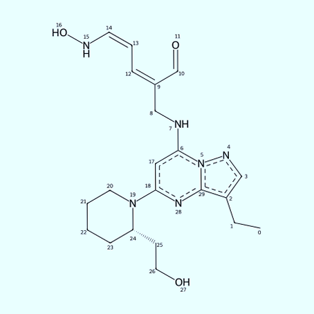 CCc1cnn2c(NC/C(C=O)=C/C=C\NO)cc(N3CCCC[C@H]3CCO)nc12